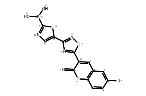 O=c1oc2ccc(Cl)cc2cc1-c1nc(-c2cnc(B(O)O)s2)no1